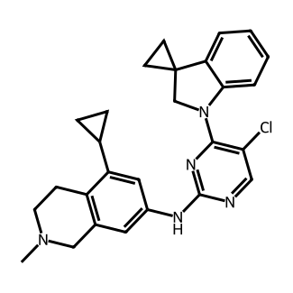 CN1CCc2c(cc(Nc3ncc(Cl)c(N4CC5(CC5)c5ccccc54)n3)cc2C2CC2)C1